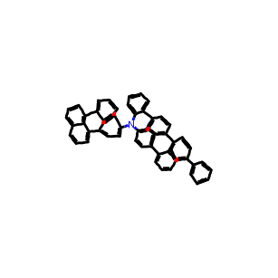 c1ccc(-c2ccc(-c3ccc(-c4ccccc4N(c4ccc(-c5ccccc5)cc4)c4ccc(-c5cccc6cccc(-c7ccccc7)c56)cc4)cc3)cc2)cc1